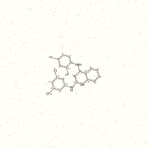 Fc1ccc(Nc2nc(Nc3cc(Cl)cc(Cl)c3)nc3ccccc23)c(F)c1